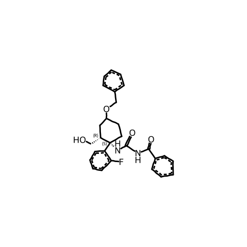 O=C(NC(=O)c1ccccc1)N[C@@]1(c2ccccc2F)CCC(OCc2ccccc2)C[C@H]1CO